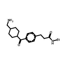 CCNC(=O)CCc1ccc(C(=O)C2CCC(CN)CC2)cc1